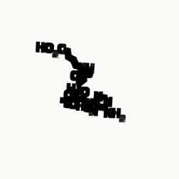 CC1(C)O[C@@H]2[C@H](O1)[C@@H](CCS(=O)(=O)NCCCCC(=O)O)O[C@H]2n1cnc2c(N)ncnc21